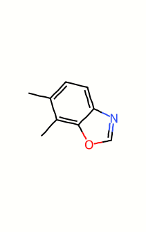 Cc1ccc2ncoc2c1C